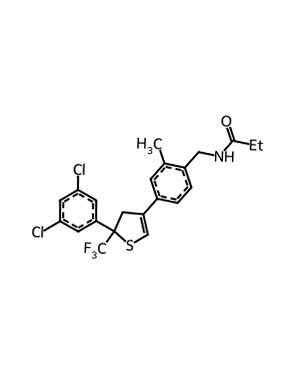 CCC(=O)NCc1ccc(C2=CSC(c3cc(Cl)cc(Cl)c3)(C(F)(F)F)C2)cc1C